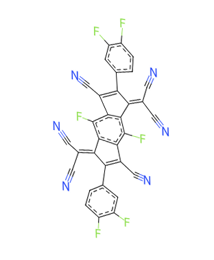 N#CC(C#N)=C1C(c2ccc(F)c(F)c2)=C(C#N)c2c(F)c3c(c(F)c21)C(C#N)=C(c1ccc(F)c(F)c1)C3=C(C#N)C#N